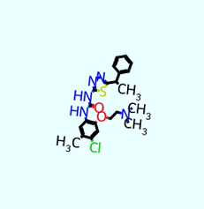 Cc1cc(NC(=O)Nc2nnc(C(C)c3ccccc3)s2)c(OCCN(C)C)cc1Cl